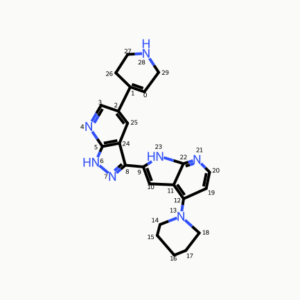 C1=C(c2cnc3[nH]nc(-c4cc5c(N6CCCCC6)ccnc5[nH]4)c3c2)CCNC1